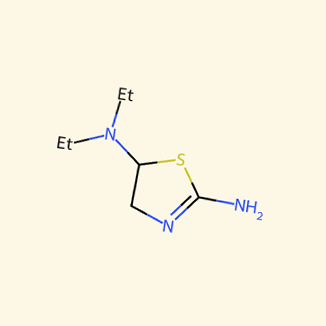 CCN(CC)C1CN=C(N)S1